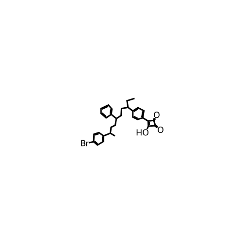 CCC(CCC(CCC(C)c1ccc(Br)cc1)c1ccccc1)c1ccc(-c2c(O)c(=O)c2=O)cc1